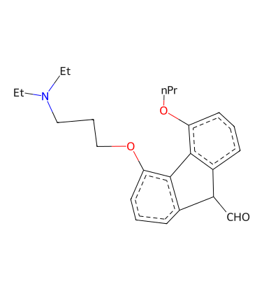 CCCOc1cccc2c1-c1c(OCCCN(CC)CC)cccc1C2C=O